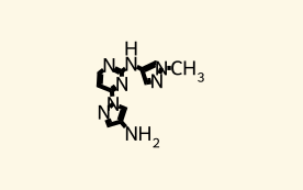 Cn1cc(Nc2nccc(-n3cc(N)cn3)n2)cn1